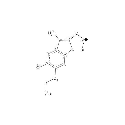 CCOc1cc2c(cc1Cl)C(C)C1CNCC21